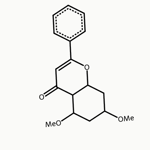 COC1CC(OC)C2C(=O)C=C(c3ccccc3)OC2C1